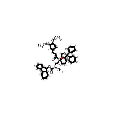 COc1ccc(CCC(=O)N(CCNC(c2ccccc2)(c2ccccc2)c2ccccc2)CCN(C)C(=O)OC2c3ccccc3-c3ccccc32)cc1OC